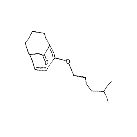 CC(C)CCCOC1=C2CCCC(C=C1)C2=O